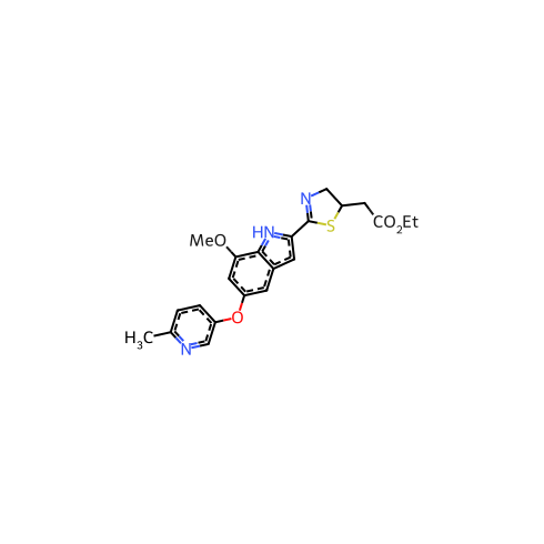 CCOC(=O)CC1CN=C(c2cc3cc(Oc4ccc(C)nc4)cc(OC)c3[nH]2)S1